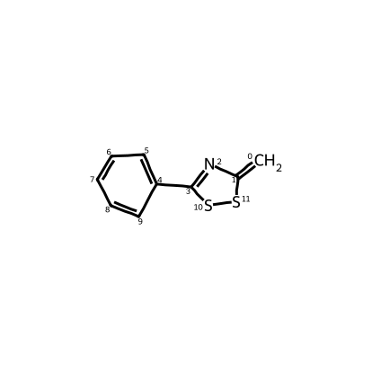 C=C1N=C(c2ccccc2)SS1